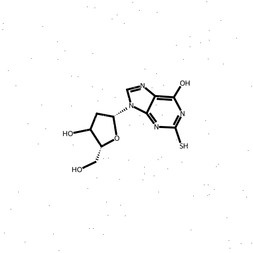 OC[C@H]1O[C@@H](n2cnc3c(O)nc(S)nc32)CC1O